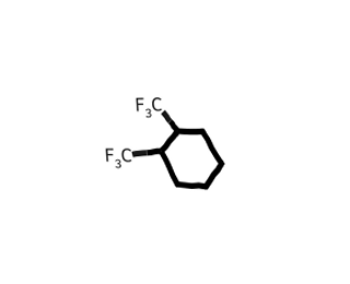 FC(F)(F)[C]1CCCCC1C(F)(F)F